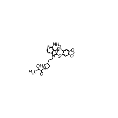 C[C@@H](O)C(=O)N1CCC(CCn2c(Sc3cc4c(cc3Br)OCO4)nc3c(N)nccc32)C1